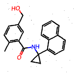 Cc1ccc(CO)cc1C(=O)NC1(c2cccc3ccccc23)CC1